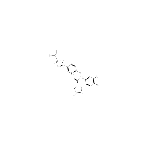 O=C(N1CC[C@H](F)C1)N(Cc1ccc(-c2nnc(C(F)F)o2)cn1)c1ccc(F)c(Cl)c1